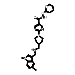 Cc1ccc2c(c1)c(CNCC1CCN(c3ncc(C(=O)NOC4CCCCO4)cn3)CC1)cn2C